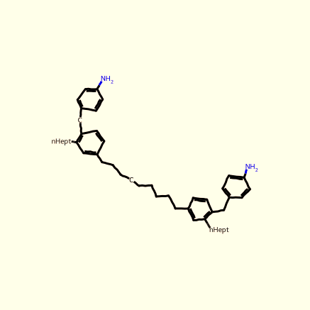 CCCCCCCc1cc(CCCCCCCCCc2ccc(Cc3ccc(N)cc3)c(CCCCCCC)c2)ccc1Cc1ccc(N)cc1